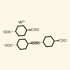 O=C([O-])[C@H]1CC[C@H](C(=O)[O-])CC1.O=C([O-])[C@H]1CC[C@H](C(=O)[O-])CC1.O=C([O-])[C@H]1CC[C@H](C(=O)[O-])CC1.[W+6]